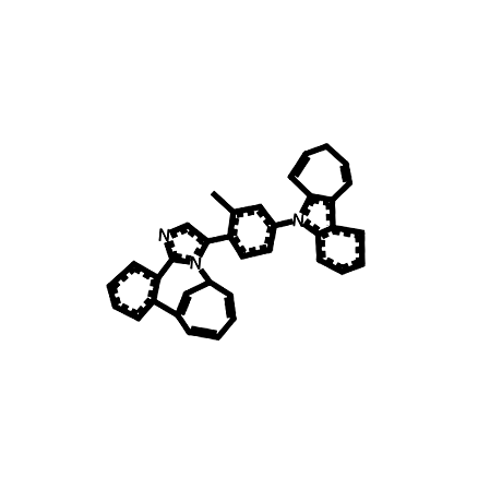 Cc1cc(-n2c3c(c4ccccc42)C=CCC=C3)ccc1-c1cnc2n1C1C=CC=CC(=C1)c1ccccc1-2